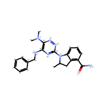 CC1Cc2c(C(N)=O)cccc2N1c1nnc(N(C)C)c(NCc2ccccc2)n1